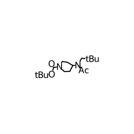 CC(=O)N(CC(C)(C)C)C1CCN(C(=O)OC(C)(C)C)CC1